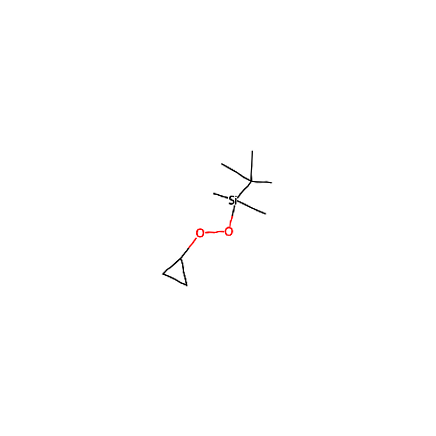 CC(C)(C)[Si](C)(C)OOC1CC1